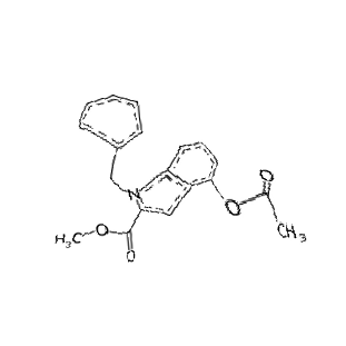 COC(=O)c1cc2c(OC(C)=O)cccc2n1Cc1ccccc1